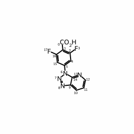 O=C(O)c1c(F)cc(-n2nnc3cccnc32)cc1F